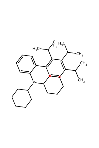 CC(C)c1ccc(-c2ccccc2P(C2CCCCC2)C2CCCCC2)c(C(C)C)c1C(C)C